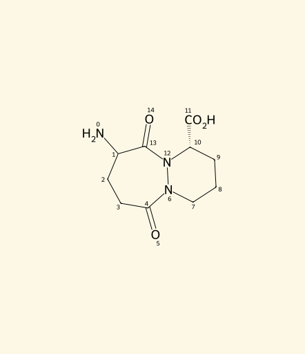 NC1CCC(=O)N2CCC[C@@H](C(=O)O)N2C1=O